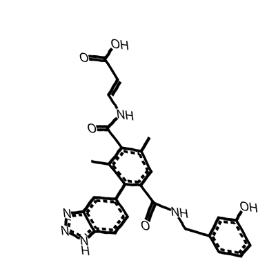 Cc1cc(C(=O)NCc2cccc(O)c2)c(-c2ccc3[nH]nnc3c2)c(C)c1C(=O)NC=CC(=O)O